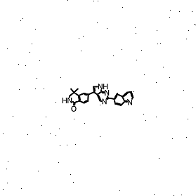 CC1(C)CNC(=O)c2ccc(-c3c[nH]c4nc(-c5ccc6ncccc6c5)ncc34)cc21